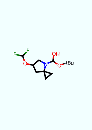 CC(C)(C)OC(O)N1CC(OC(F)F)CC12CC2